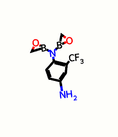 Nc1ccc(N(B2CO2)B2CO2)c(C(F)(F)F)c1